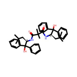 CC(C)C[C@@H](NC(=O)C(C)(C)C(=O)N[C@H](CC(C)C)C(O)(c1ccccc1)c1ccccc1)C(O)(c1ccccc1)c1ccccc1